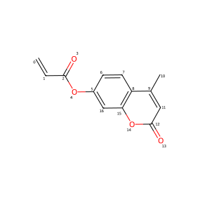 C=CC(=O)Oc1ccc2c(C)cc(=O)oc2c1